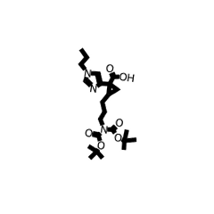 CCCn1cnc(C2(C(=O)O)CC2CCCN(C(=O)OC(C)(C)C)C(=O)OC(C)(C)C)c1